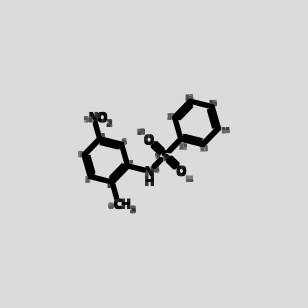 Cc1ccc([N+](=O)[O-])cc1NS(=O)(=O)c1ccccc1